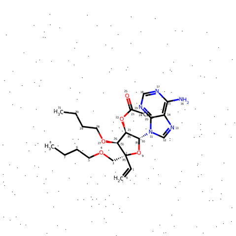 C=C[C@]1(COCCCC)O[C@@H](n2cnc3c(N)ncnc32)[C@H](OC(C)=O)[C@@H]1OCCCC